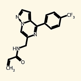 C=CC(=O)NCc1cn2nccc2c(-c2ccc(C(F)(F)F)cc2)n1